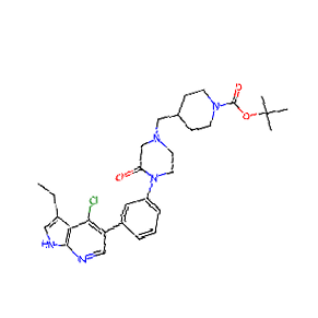 CCc1c[nH]c2ncc(-c3cccc(N4CCN(CC5CCN(C(=O)OC(C)(C)C)CC5)CC4=O)c3)c(Cl)c12